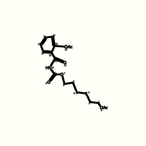 CC(=O)OCCSSCCOC(=O)NC(=O)c1ccccc1OC(C)=O